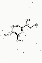 COc1ncc([C@H](O)CO)nc1OC